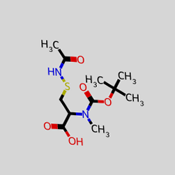 CC(=O)NSCC(C(=O)O)N(C)C(=O)OC(C)(C)C